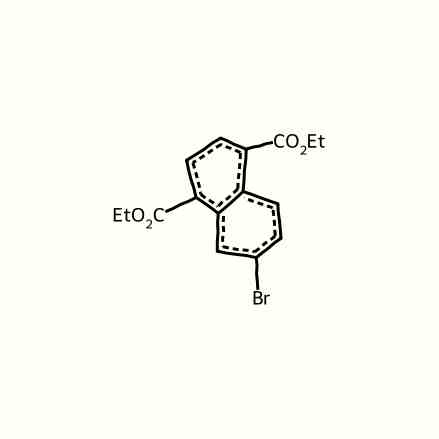 CCOC(=O)c1ccc(C(=O)OCC)c2cc(Br)ccc12